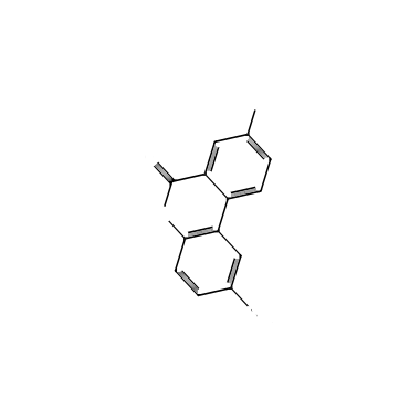 O=c1oc2ccc([N+](=O)[O-])cc2c2ccc(Cl)cc12